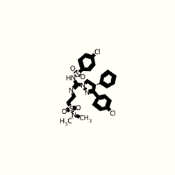 CN(C)S(=O)(=O)CC/N=C(/NS(=O)(=O)c1ccc(Cl)cc1)N1C[C@H](c2ccccc2)C(c2ccc(Cl)cc2)=N1